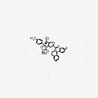 CCS[C@H]1CO[C@@H](C(=O)N2CCc3ccccc3[C@@H]2c2ccc(F)cc2)C[C@@H]1N(C(=O)OC(C)(C)C)S(=O)(=O)c1ccc(C)cc1